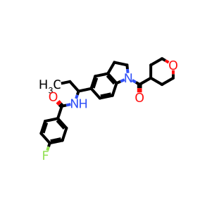 CCC(NC(=O)c1ccc(F)cc1)c1ccc2c(c1)CCN2C(=O)C1CCOCC1